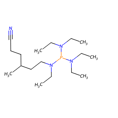 CCN(CC)P(N(CC)CC)N(CC)CCC(C)CCC#N